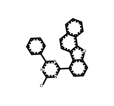 Clc1nc(-c2ccccc2)nc(-c2cccc3oc4c5ccccc5ccc4c23)n1